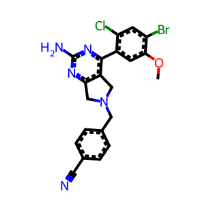 COc1cc(-c2nc(N)nc3c2CN(Cc2ccc(C#N)cc2)C3)c(Cl)cc1Br